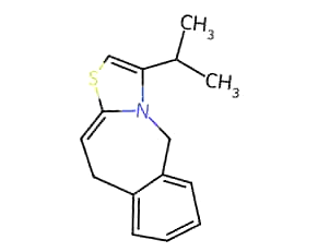 CC(C)C1=CSC2=CCc3ccccc3CN21